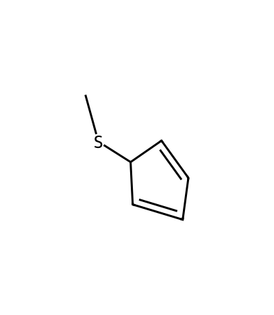 CSC1C=CC=C1